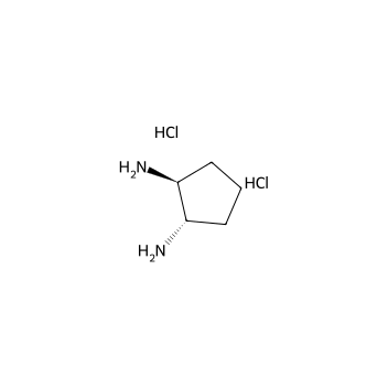 Cl.Cl.N[C@H]1CCC[C@@H]1N